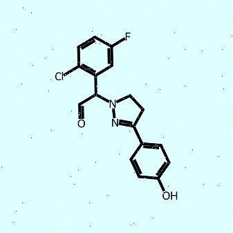 O=CC(c1cc(F)ccc1Cl)N1CCC(c2ccc(O)cc2)=N1